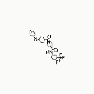 CN(c1ccncc1)c1ccc(C(=O)N2CCN(C(=O)Nc3ccc(F)c(C(F)(F)F)c3)CC2)cc1